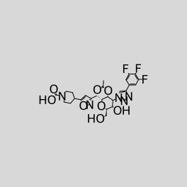 CC(=O)O[C@@H]1[C@@H](n2cc(-c3cc(F)c(F)c(F)c3)nn2)[C@@H](O)[C@@H](CO)O[C@@H]1Cc1cc(C2CCN(C(=O)O)CC2)on1